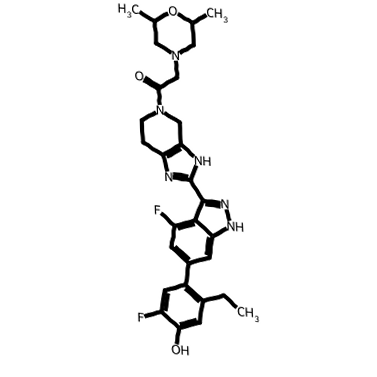 CCc1cc(O)c(F)cc1-c1cc(F)c2c(-c3nc4c([nH]3)CN(C(=O)CN3CC(C)OC(C)C3)CC4)n[nH]c2c1